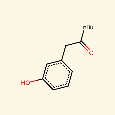 CCCCC(=O)Cc1cccc(O)c1